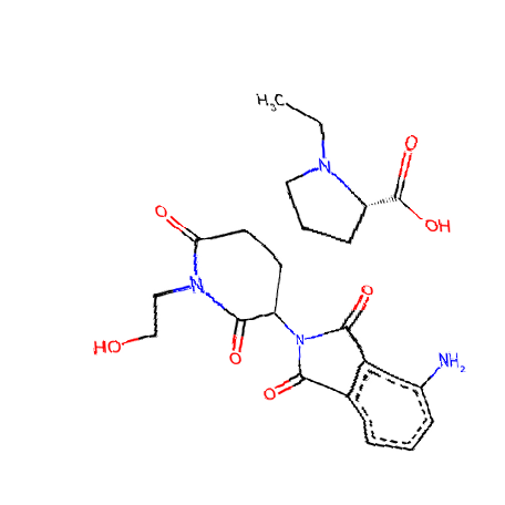 CCN1CCC[C@H]1C(=O)O.Nc1cccc2c1C(=O)N(C1CCC(=O)N(CCO)C1=O)C2=O